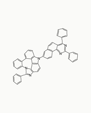 c1ccc(-c2nc(-c3ccccc3)c3ccc4cc(-n5c6cccc7c8ccccc8n8c(-c9ccccc9)nc9ccc5c(c76)c98)ccc4c3n2)cc1